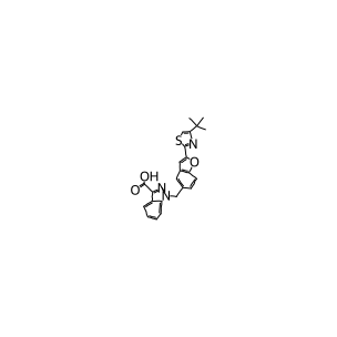 CC(C)(C)c1csc(-c2cc3cc(Cn4nc(C(=O)O)c5ccccc54)ccc3o2)n1